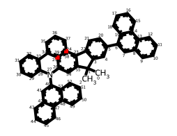 CC1(C)c2cc(-c3cc4ccccc4c4ccccc34)ccc2-c2ccc(N(c3ccccc3-c3ccccc3)c3cc4ccccc4c4ccccc34)cc21